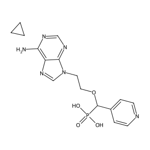 C1CC1.Nc1ncnc2c1ncn2CCOC(c1ccncc1)P(=O)(O)O